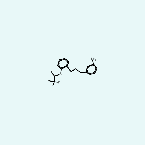 Nc1cccc(CCCc2ccccc2OC(F)C(F)(F)F)c1